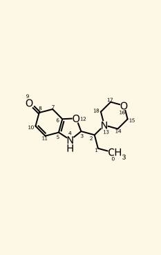 CCC(C1NC2=C(CC(=O)C=C2)O1)N1CCOCC1